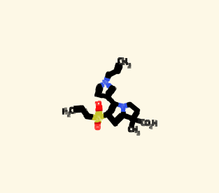 C=CCn1ccc(-c2c(S(=O)(=O)CC=C)cc3n2CCC3(C)C(=O)O)c1